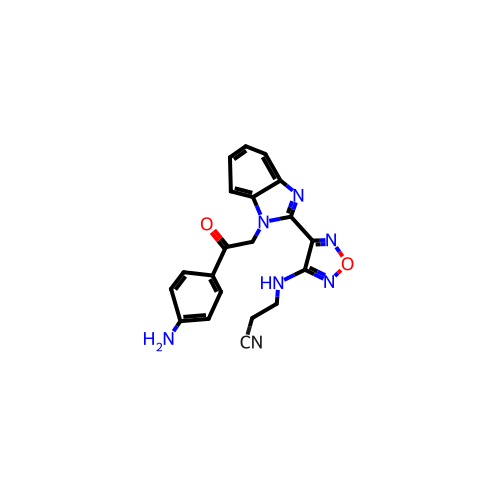 N#CCCNc1nonc1-c1nc2ccccc2n1CC(=O)c1ccc(N)cc1